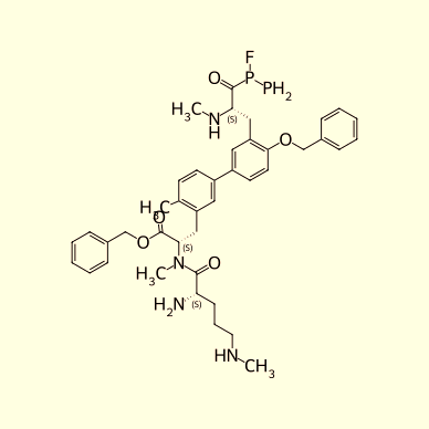 CNCCC[C@H](N)C(=O)N(C)[C@@H](Cc1cc(-c2ccc(OCc3ccccc3)c(C[C@H](NC)C(=O)P(F)P)c2)ccc1C)C(=O)OCc1ccccc1